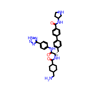 NCC1CCC(C(=O)N[C@@H](Cc2ccc(-c3ccc(C(=O)NC4CCNC4)cc3)cc2)C(=O)Nc2ccc(-c3nn[nH]n3)cc2)CC1